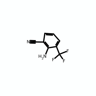 N#Cc1cccc(C(F)(F)F)c1N